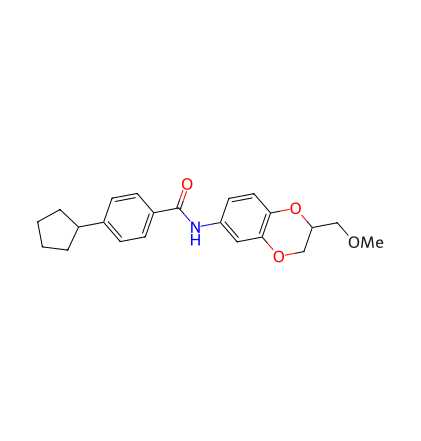 COCC1COc2cc(NC(=O)c3ccc(C4CCCC4)cc3)ccc2O1